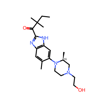 CCC(C)(C)C(=O)c1nc2cc(C)c(N3CCN(CCO)C[C@@H]3C)cc2[nH]1